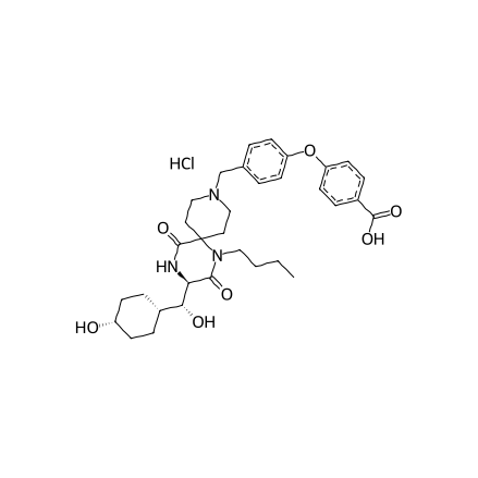 CCCCN1C(=O)[C@@H]([C@H](O)[C@H]2CC[C@@H](O)CC2)NC(=O)C12CCN(Cc1ccc(Oc3ccc(C(=O)O)cc3)cc1)CC2.Cl